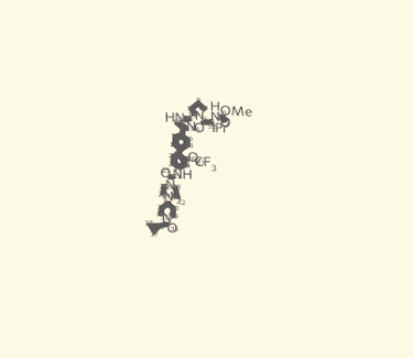 COC(=O)N[C@H](C(=O)N1CCC[C@H]1c1nc(-c2ccc(-c3ccc(NC(=O)N4CCN(C5CCN(C(=O)C6CC6)CC5)[C@@H](C)C4)cc3OC(F)(F)F)cc2)c[nH]1)C(C)C